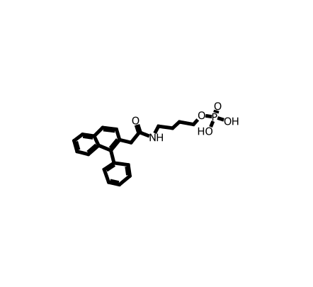 O=C(Cc1ccc2ccccc2c1-c1ccccc1)NCCCCOP(=O)(O)O